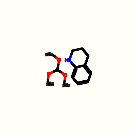 CCCCOB(OCCCC)OCCCC.c1ccc2c(c1)CCCN2